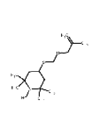 C=C(C)COCSC1CC(C)(C)N(O)C(C)(C)C1